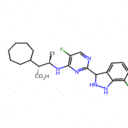 CC[C@@H](Nc1nc(C2NNc3c(F)cccc32)ncc1F)[C@H](C(=O)O)C1CCCCCC1